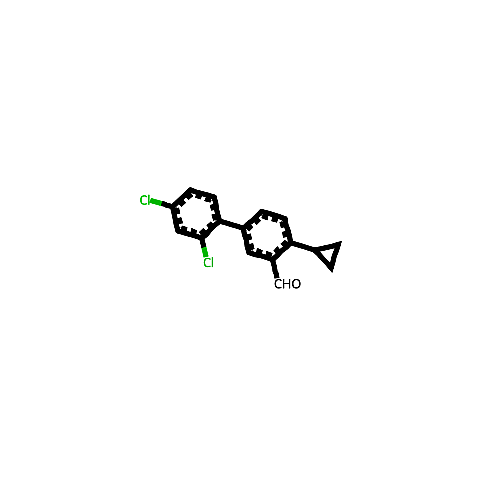 O=Cc1cc(-c2ccc(Cl)cc2Cl)ccc1C1CC1